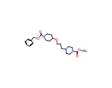 CC(C)(C)OC(=O)N1CCN(CCCOC2CCN(C(=O)OCc3ccccc3)CC2)CC1